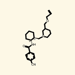 C=CCOCC1CCCN(C[C@@H]2CCCC[C@H]2NC(=O)c2ccc(C#N)cc2)C1